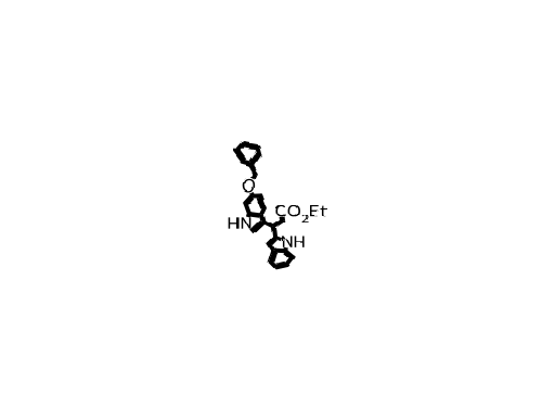 CCOC(=O)CC(c1cc2ccccc2[nH]1)c1c[nH]c2cc(OCc3ccccc3)ccc12